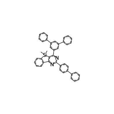 C[Si]1(C)c2ccccc2-c2nc(-c3ccc(-c4ccccc4)cc3)nc(-c3cc(-c4ccccc4)cc(-c4ccccc4)c3)c21